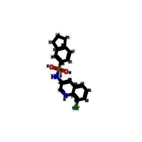 O=S(=O)(Nc1cnc2c(Br)cccc2c1)c1ccc2c(c1)CCC2